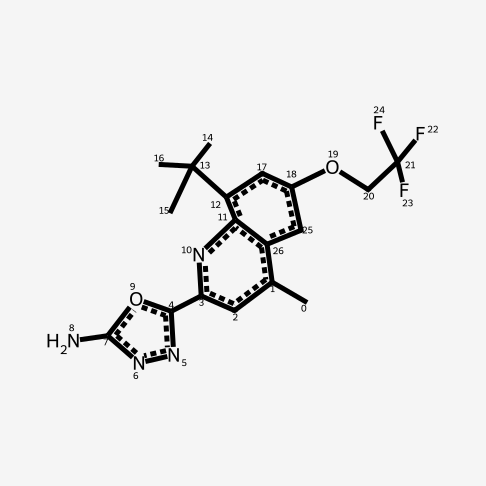 Cc1cc(-c2nnc(N)o2)nc2c(C(C)(C)C)cc(OCC(F)(F)F)cc12